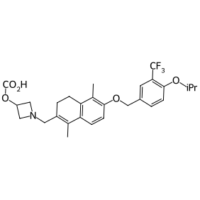 CC1=C(CN2CC(OC(=O)O)C2)CCc2c1ccc(OCc1ccc(OC(C)C)c(C(F)(F)F)c1)c2C